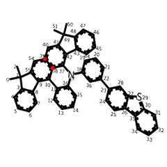 CC1(C)c2ccccc2-c2c(-c3ccccc3N(c3cccc(-c4ccc5c(c4)sc4ccccc45)c3)c3cccc4c3-c3ccccc3C4(C)C)cccc21